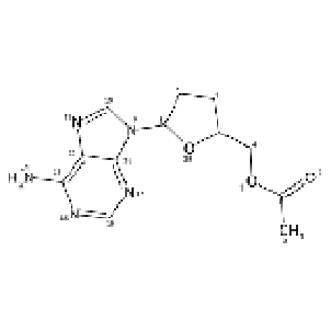 CC(=O)OCC1CCC(n2cnc3c(N)ncnc32)O1